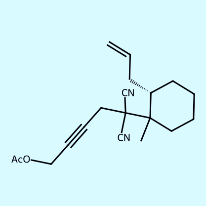 C=CC[C@@H]1CCCCC1(C)C(C#N)(C#N)CC#CCOC(C)=O